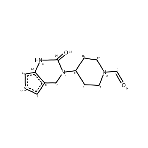 O=CN1CCC(N2Cc3cscc3NC2=O)CC1